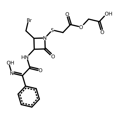 O=C(O)COC(=O)CSN1C(=O)C(NC(=O)/C(=N\O)c2ccccc2)C1CBr